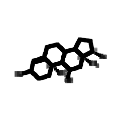 CC(=O)[C@H]1CCC2C3CCC4=CC(O)CC[C@]4(C)C3[C@H](O)C[C@@]21C